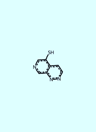 Sc1cncc2nnccc12